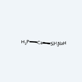 [NaH].[SiH3][Ca][PH2]